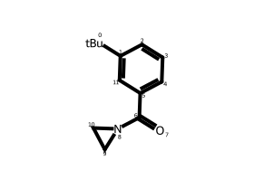 CC(C)(C)c1cccc(C(=O)N2CC2)c1